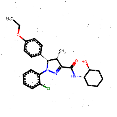 CCOc1ccc([C@@H]2[C@H](C)C(C(=O)N[C@H]3CCCC[C@@H]3O)=NN2c2ccccc2Cl)cc1